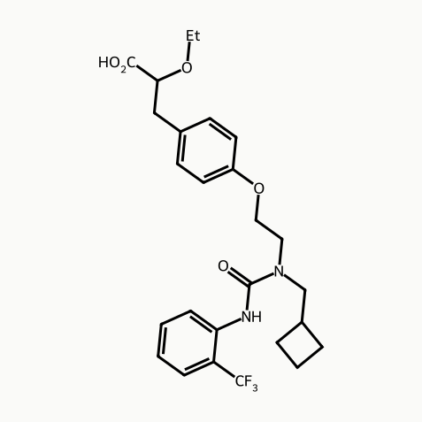 CCOC(Cc1ccc(OCCN(CC2CCC2)C(=O)Nc2ccccc2C(F)(F)F)cc1)C(=O)O